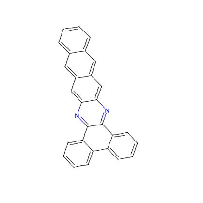 c1ccc2cc3cc4nc5c6ccccc6c6ccccc6c5nc4cc3cc2c1